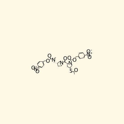 CC(=O)S[C@H]1C[C@@H](C(=O)N2CC[C@H](CN(C)C(=O)OCc3ccc([N+](=O)[O-])cc3)C2)N(C(=O)OCc2ccc([N+](=O)[O-])cc2)C1